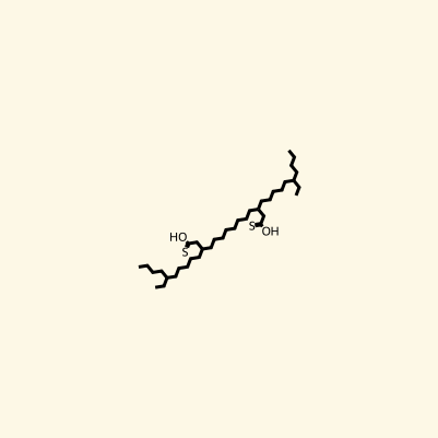 CCCCC(CC)CCCCCC(CCCCCCCCC(CCCCCC(CC)CCCC)CC(O)=S)CC(O)=S